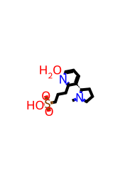 CN1CCC[C@H]1c1cccnc1CCCS(=O)(=O)O.O